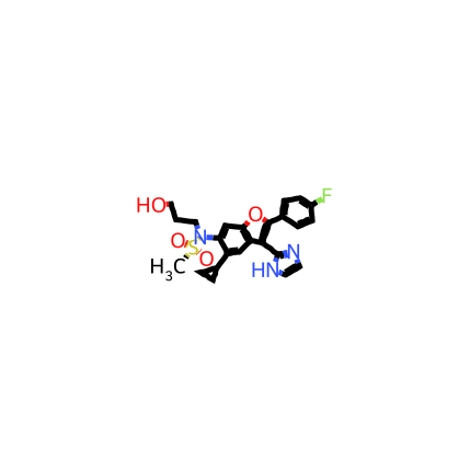 CS(=O)(=O)N(CCCO)c1cc2oc(-c3ccc(F)cc3)c(-c3ncc[nH]3)c2cc1C1CC1